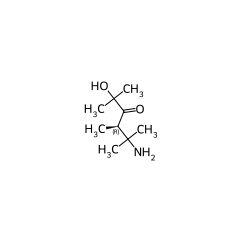 C[C@@H](C(=O)C(C)(C)O)C(C)(C)N